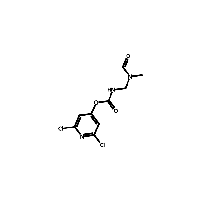 CN(C=O)CNC(=O)Oc1cc(Cl)nc(Cl)c1